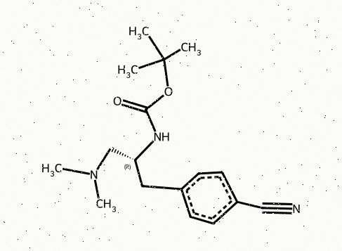 CN(C)C[C@@H](Cc1ccc(C#N)cc1)NC(=O)OC(C)(C)C